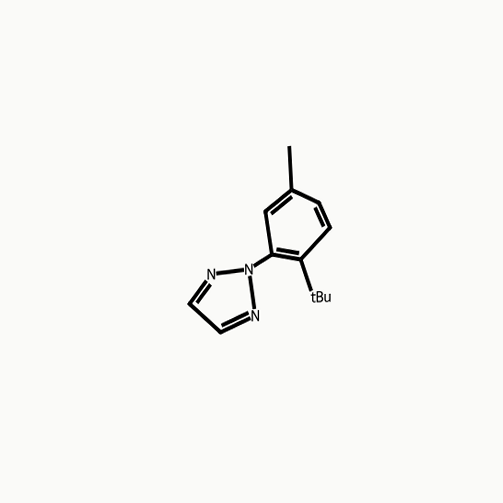 Cc1ccc(C(C)(C)C)c(-n2nccn2)c1